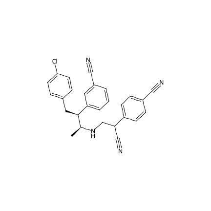 C[C@H](NCC(C#N)c1ccc(C#N)cc1)[C@@H](Cc1ccc(Cl)cc1)c1cccc(C#N)c1